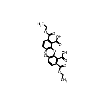 CCOC(=O)c1ccc(Cl)c(Oc2c(Cl)ccc(C(=O)OCC)c2C(=O)O)c1C(=O)O